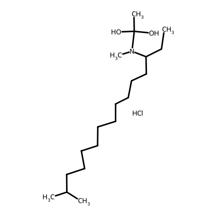 CCC(CCCCCCCCCCC(C)C)N(C)C(C)(O)O.Cl